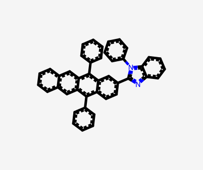 c1ccc(-c2c3ccc(-c4nc5ccccc5n4-c4ccccc4)cc3c(-c3ccccc3)c3cc4ccccc4cc23)cc1